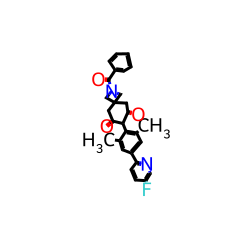 Cc1cc(-c2ccc(F)cn2)cc(C)c1C1C(=O)CC2(CC1=O)CN(C(=O)c1ccccc1)C2